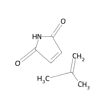 C=C(C)C.O=C1C=CC(=O)N1